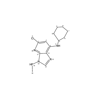 Clc1cc(NC2CCCCC2)c2ncn(PI)c2n1